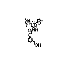 Cc1cc(C)n(-c2cc(NC(=O)COc3cccc(CCO)c3)nc(-c3ccc(C)o3)n2)n1